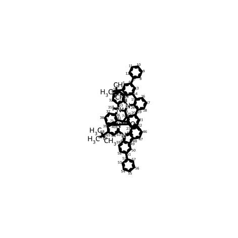 CC(C)(C)c1cc(-c2ccccc2)cc(-c2cccc(-c3ccccc3)c2N2c3ccccc3[N+]3(I)c4cccc5c4C46C(c7c(ccc8c9cc(-c%10ccccc%10)ccc9n(c78)-c7cc(C(C)(C)C)cc[n+]74)O5)C6C23)c1